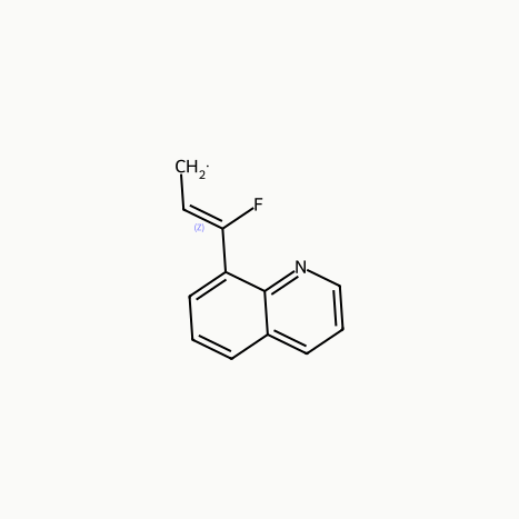 [CH2]/C=C(\F)c1cccc2cccnc12